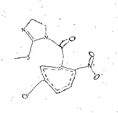 CSC1=NCCN1C(=O)c1cc(Cl)ccc1[N+](=O)[O-]